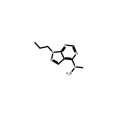 CCCn1ncc2c(N(C)N)ncnc21